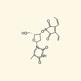 C=CC1=C(/C=C\C)C(=O)N(OC2CC(n3cc(C)c(=O)[nH]c3=O)O[C@@H]2CO)C1=O